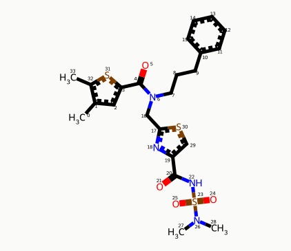 Cc1cc(C(=O)N(CCCc2ccccc2)Cc2nc(C(=O)NS(=O)(=O)N(C)C)cs2)sc1C